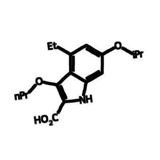 CCCOc1c(C(=O)O)[nH]c2cc(OC(C)C)cc(CC)c12